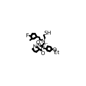 CCOc1ccc(-n2c([C@@H](C)N(CCS)C(=O)Cc3ccc(F)c(C)c3)nc3ncccc3c2=O)cc1